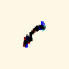 Cn1c(=O)n(C2CCC(=O)NC2=O)c2cccc(C#CCCCOCC3CCC(n4cc(N)c(C(F)F)n4)CC3)c21